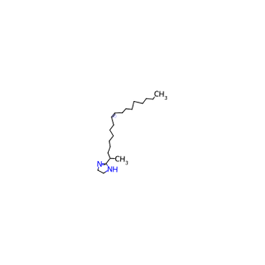 CCCCCCCC/C=C\CCCCCCC(C)C1=NCCN1